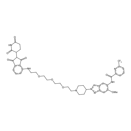 COc1cc2nn(C3CCN(CCOCCOCCOCCNc4cccc5c4C(=O)C(C4CCC(=O)NC4=O)C5=O)CC3)cc2cc1NC(=O)c1cccc(C(F)(F)F)n1